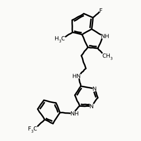 Cc1[nH]c2c(F)ccc(C)c2c1CCNc1cc(Nc2cccc(C(F)(F)F)c2)ncn1